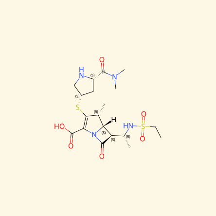 CCS(=O)(=O)N[C@H](C)[C@H]1C(=O)N2C(C(=O)O)=C(S[C@@H]3CN[C@H](C(=O)N(C)C)C3)[C@H](C)[C@H]12